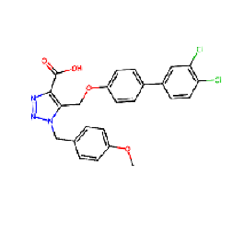 COc1ccc(Cn2nnc(C(=O)O)c2COc2ccc(-c3ccc(Cl)c(Cl)c3)cc2)cc1